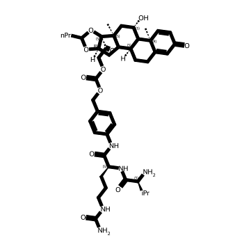 CCCC1O[C@@H]2CC3[C@@H]4CCC5=CC(=O)C=C[C@]5(C)C4[C@@H](O)C[C@]3(C)[C@]2(C(=O)COC(=O)OCc2ccc(NC(=O)[C@H](CCCNC(N)=O)NC(=O)[C@@H](N)C(C)C)cc2)O1